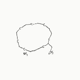 CCC1CCCCCCCCCCCCCCC1.N